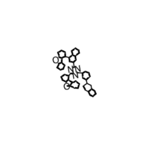 C1=CC(c2cccc(-c3nc(-c4cc(-c5cccc6oc7ccccc7c56)c5ccccc5c4)nc(-c4cccc5oc6ccccc6c45)n3)c2)Cc2ccccc21